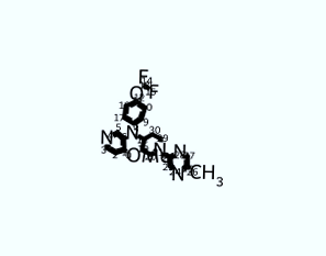 COc1ccncc1N(c1ccc(OC(F)F)cc1)C1CCN(c2cnc(C)cn2)CC1